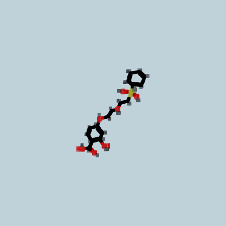 O=C(O)c1ccc(OCCOCCS(=O)(=O)c2ccccc2)cc1O